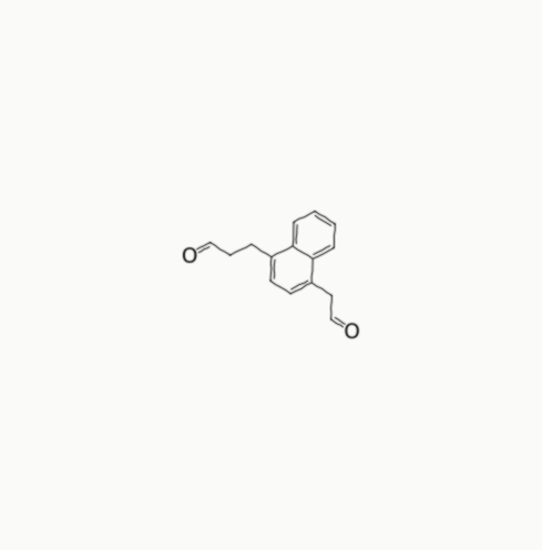 O=CCCc1ccc(CC=O)c2ccccc12